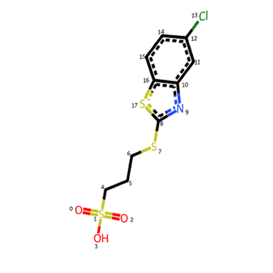 O=S(=O)(O)CCCSc1nc2cc(Cl)ccc2s1